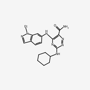 CCn1ncc2ccc(Nc3nc(NC4CCCCC4)nnc3C(N)=O)cc21